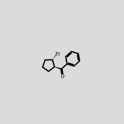 CC[C@H]1CCC[C@@H]1C(=O)c1ccccc1